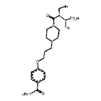 CCCCCC(=O)c1ccc(OCCCN2CCN(C(=O)[C@@H](CC(C)C)N(C(=O)O)C(C)(C)C)CC2)cc1